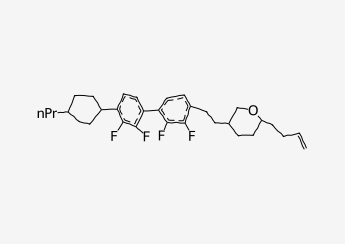 C=CCCC1CCC(CCc2ccc(-c3ccc(C4CCC(CCC)CC4)c(F)c3F)c(F)c2F)CO1